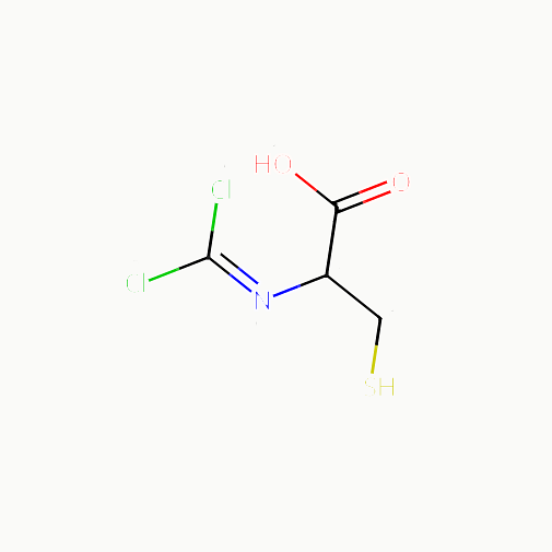 O=C(O)C(CS)N=C(Cl)Cl